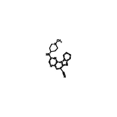 CN1CCC(Nc2cnc3cc(C#N)c4nc5ccccc5n4c3n2)CC1